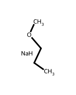 CCCOC.[NaH]